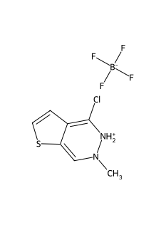 CN1C=c2sccc2=C(Cl)[NH2+]1.F[B-](F)(F)F